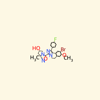 COc1cc2c(cc1Br)-c1c(-c3ccc(F)cc3)nc(C(=O)N3C[C@@H](O)C[C@]3(C)C#N)n1CC2